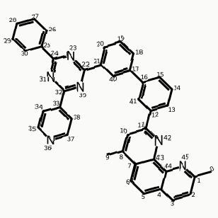 Cc1ccc2ccc3c(C)cc(-c4cccc(-c5cccc(-c6nc(-c7ccccc7)nc(-c7ccncc7)n6)c5)c4)nc3c2n1